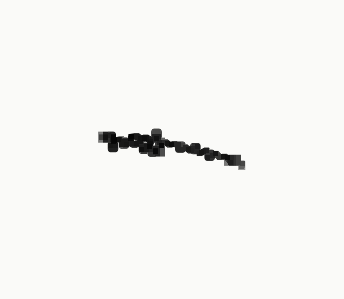 NCCCOCCOCCOCCCNC(=O)c1cc2ccc(OCC(=O)O)cc2oc1=O